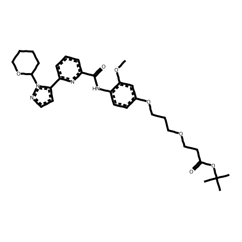 COc1cc(OCCCOCCC(=O)OC(C)(C)C)ccc1NC(=O)c1cccc(-c2ccnn2C2CCCCO2)n1